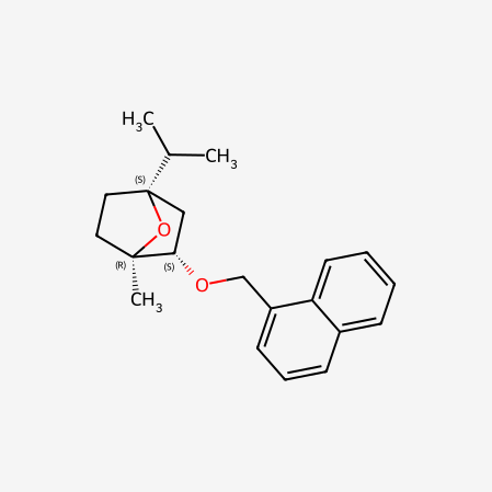 CC(C)[C@@]12CC[C@@](C)(O1)[C@@H](OCc1cccc3ccccc13)C2